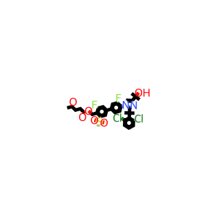 CC(=O)CCC(=O)OCc1c(F)cc(-c2ccc(-n3cc(C(C)(C)O)nc3C(C)(C)c3c(Cl)cccc3Cl)c(F)c2)cc1S(C)(=O)=O